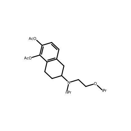 CCCN(CCOC(C)C)C1CCc2c(ccc(OC(C)=O)c2OC(C)=O)C1